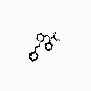 CC(C)C(=O)N(CC1CCCN(CCc2ccccc2)C1)c1ccccc1